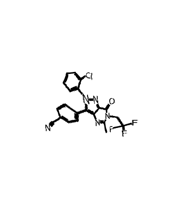 Cc1nc2c(-c3ccc(C#N)cc3)n(-c3ccccc3Cl)nc2c(=O)n1CC(F)(F)F